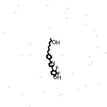 CC(O)CCC/C=C/c1ccc(-c2ccc(-c3ccc(O)c(F)c3F)cn2)cc1